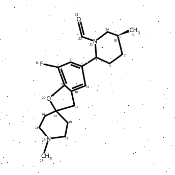 C[C@H]1CCC(c2cc(F)c3c(c2)CC2(CCN(C)CC2)O3)N(C=O)C1